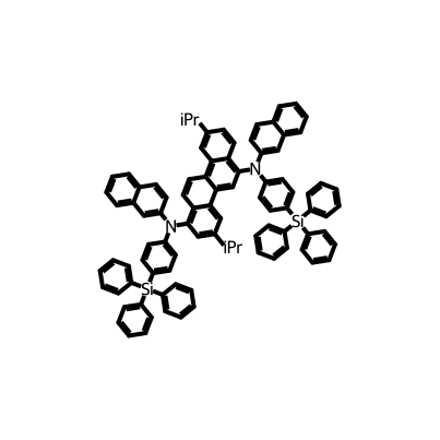 CC(C)c1ccc2c(N(c3ccc([Si](c4ccccc4)(c4ccccc4)c4ccccc4)cc3)c3ccc4ccccc4c3)cc3c4cc(C(C)C)cc(N(c5ccc([Si](c6ccccc6)(c6ccccc6)c6ccccc6)cc5)c5ccc6ccccc6c5)c4ccc3c2c1